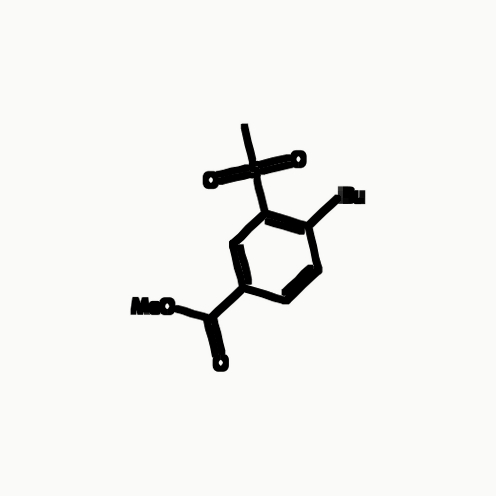 CCC(C)c1ccc(C(=O)OC)cc1S(C)(=O)=O